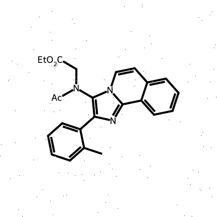 CCOC(=O)CN(C(C)=O)c1c(-c2ccccc2C)nc2c3ccccc3ccn12